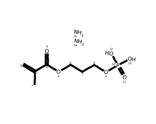 C=C(C)C(=O)OCCCOP(=O)(O)O.N.N